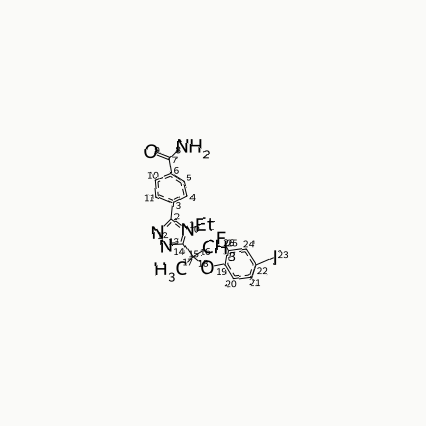 CCn1c(-c2ccc(C(N)=O)cc2)nnc1C(C)(C)Oc1ccc(I)cc1F